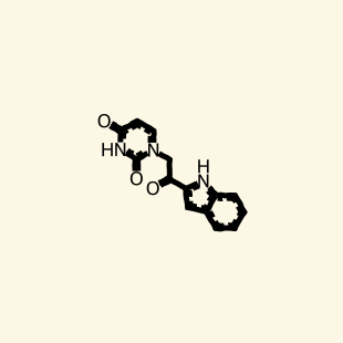 O=C(Cn1ccc(=O)[nH]c1=O)c1cc2ccccc2[nH]1